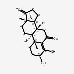 C[C@]12CC[C@H](O)C(O)=C1C(=O)C[C@@H]1[C@@H]2CC[C@]2(C)C(=O)CC[C@@H]12